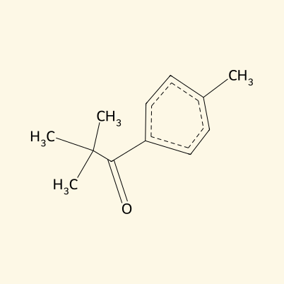 Cc1ccc(C(=O)C(C)(C)C)cc1